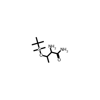 CC(O[Si](C)(C)C(C)(C)C)C(N)C(N)=O